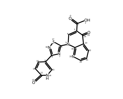 O=C(O)c1cn(-c2nc(-c3ccc(=O)[nH]c3)ns2)c2ncccc2c1=O